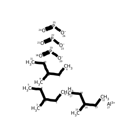 CCC(C)CC.CCC(C)CC.CCC(C)CC.O=P[O-].O=P[O-].O=P[O-].[Al+3]